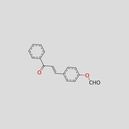 O=COc1ccc(/C=C/C(=O)c2ccccc2)cc1